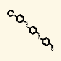 O=Cc1ccc(N=Nc2ccc(N=Nc3ccc(N4CCCC4)cc3)cc2)cc1